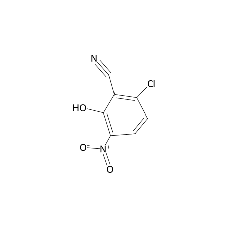 N#Cc1c(Cl)ccc([N+](=O)[O-])c1O